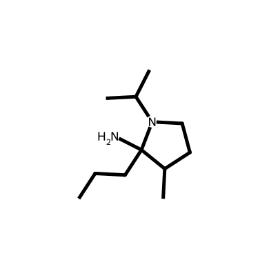 CCCC1(N)C(C)CCN1C(C)C